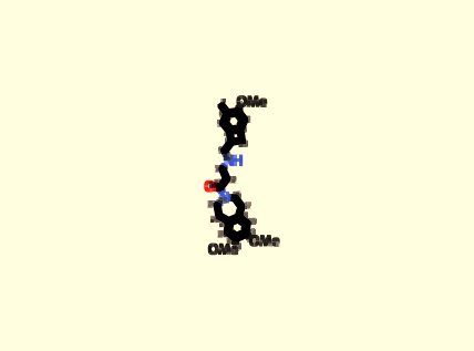 COc1cc2c(cc1C)C(CNCCC(=O)N1CCc3cc(OC)c(OC)cc3CC1)C2